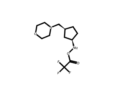 O=C(ON[C@@H]1CC[C@H](CN2CCOCC2)C1)C(F)(F)F